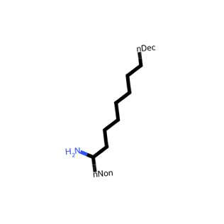 CCCCCCCCCCCCCCCCCC(N)CCCCCCCCC